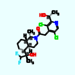 C[C@@H](O)c1ncc(Cl)c(CC(=O)N2CC[C@@H]3[C@H](CCC[C@H]3[C@](C)(O)C(F)F)[C@@H]2C)c1Cl